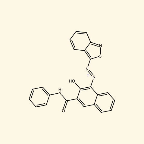 O=C(Nc1ccccc1)c1cc2ccccc2c(/N=N/c2snc3ccccc23)c1O